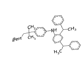 CCCC(C)CC(C)(C)c1ccc(Nc2ccc(C(C)c3ccccc3)cc2C(C)c2ccccc2)cc1